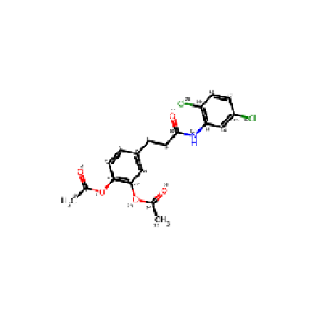 CC(=O)Oc1ccc(CCC(=O)Nc2cc(Cl)ccc2Cl)cc1OC(C)=O